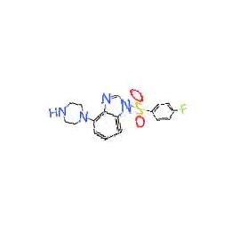 O=S(=O)(c1ccc(F)cc1)n1cnc2c(N3CCNCC3)cccc21